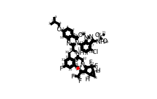 CC(C)COc1ccc2c(=O)n(-c3ccc(Cl)c4c(NS(C)(=O)=O)nn(C)c34)c([C@H](Cc3cc(F)cc(F)c3)NC(=O)Cn3nc(C(F)F)c4c3C(F)(F)[C@H]3C[C@@H]43)nc2c1